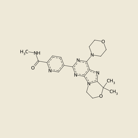 CNC(=O)c1ccc(-c2nc(N3CCOCC3)c3nc4n(c3n2)CCOC4(C)C)cn1